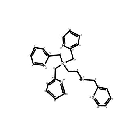 c1ccc(CNCC[N+](Cc2ccccn2)(Cc2ccccn2)Cc2ccccn2)nc1